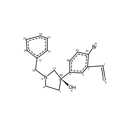 O=Cc1cc([C@]2(O)CCN(Cc3ccccc3)C2)ccc1Br